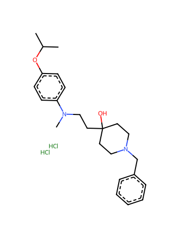 CC(C)Oc1ccc(N(C)CCC2(O)CCN(Cc3ccccc3)CC2)cc1.Cl.Cl